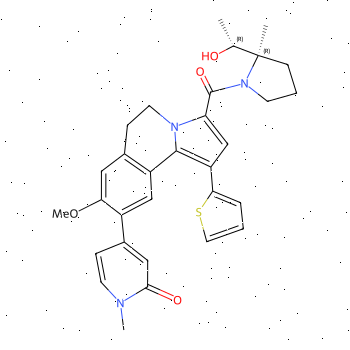 COc1cc2c(cc1-c1ccn(C)c(=O)c1)-c1c(-c3cccs3)cc(C(=O)N3CCC[C@]3(C)[C@@H](C)O)n1CC2